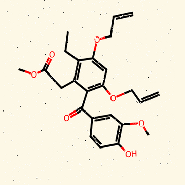 C=CCOc1cc(OCC=C)c(C(=O)c2ccc(O)c(OC)c2)c(CC(=O)OC)c1CC